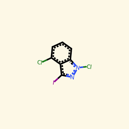 Clc1cccc2c1c(I)nn2Cl